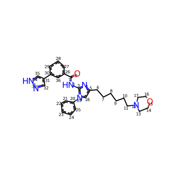 O=C(Nc1nc(CCCCCCN2CCOCC2)cn1-c1ccccc1)c1cccc(-c2cn[nH]c2)c1